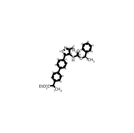 CCOC(=O)C(C)c1ccc(-c2ccc(-c3snc(C)c3NC(=O)O[C@H](C)c3ccccc3)cc2)cc1